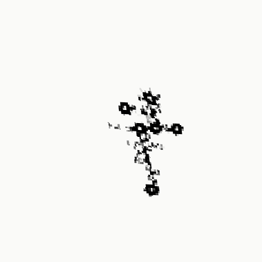 COC(=O)[C@H](Cc1cc(-c2ccc(OCc3ccccc3)c(C[C@H](NC(=O)OCc3ccccc3)C(=O)Oc3c(F)c(F)c(F)c(F)c3F)c2)ccc1Cl)N(C)C(=O)[C@@H](N)C[C@H](O)CNC(=O)OCc1ccccc1.Cl